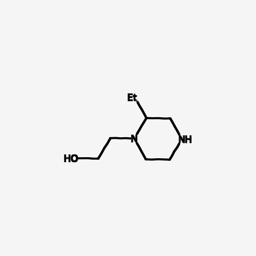 CCC1CNCCN1CCO